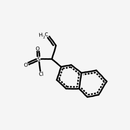 C=CC(c1ccc2ccccc2c1)S(=O)(=O)Cl